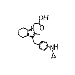 Cc1c(Cc2ccc(NC3CC3)cc2)c2c(n1CC(=O)O)CCCC2